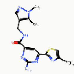 Cc1csc(-c2cc(C(=O)NCc3cnn(C)c3C)nc(N)n2)n1